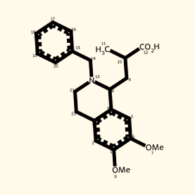 COc1cc2c(cc1OC)C(CC(C)C(=O)O)N(Cc1ccccc1)CC2